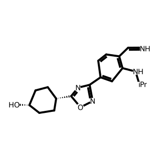 CC(C)Nc1cc(-c2noc([C@H]3CC[C@@H](O)CC3)n2)ccc1C=N